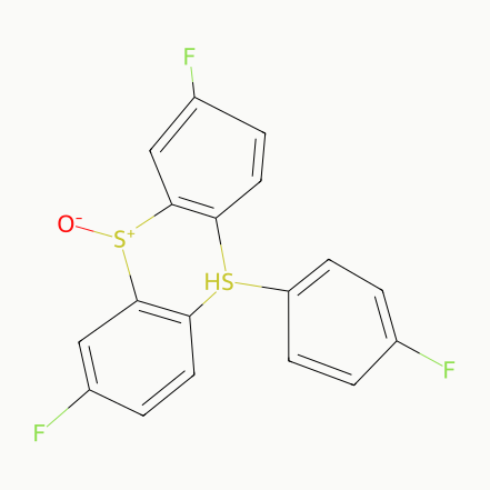 [O-][S+]1c2cc(F)ccc2[SH](c2ccc(F)cc2)c2ccc(F)cc21